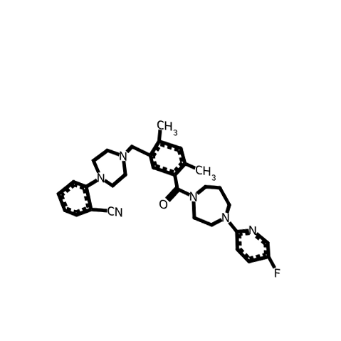 Cc1cc(C)c(C(=O)N2CCCN(c3ccc(F)cn3)CC2)cc1CN1CCN(c2ccccc2C#N)CC1